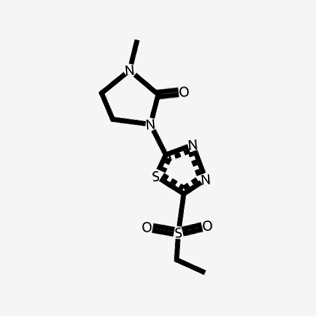 CCS(=O)(=O)c1nnc(N2CCN(C)C2=O)s1